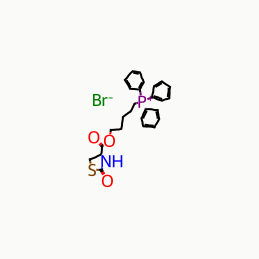 O=C1NC(C(=O)OCCCCC[P+](c2ccccc2)(c2ccccc2)c2ccccc2)CS1.[Br-]